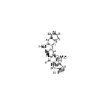 C=C(c1ncc(-c2cc3ccncc3cc2O)nn1)[C@H]1C[C@@]2(C)N[C@H](CC2(F)F)[C@@H]1OC